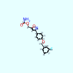 NC(=O)OCc1cc(-c2ccc(OCc3cccc(F)c3)cc2)no1